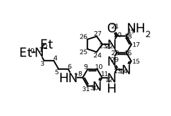 CCN(CC)CCCCNc1ccc(Nc2ncc3cc(N)c(=O)n(C4CCCC4)c3n2)nc1